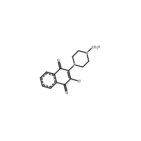 O=C1C(Cl)=C(N2CCN(C(=O)O)CC2)C(=O)c2ccccc21